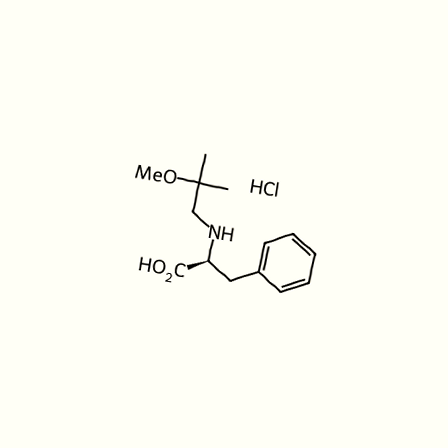 COC(C)(C)CN[C@@H](Cc1ccccc1)C(=O)O.Cl